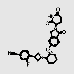 N#Cc1ccc(C2CN(C3CCCC[C@@H]3Oc3ccc4c(c3)CN(C3CCC(=O)NC3=O)C4=O)C2)c(F)c1